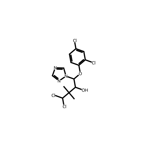 CC(C)(C(Cl)Cl)C(O)C(Oc1ccc(Cl)cc1Cl)n1cncn1